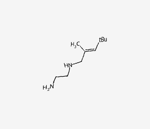 C/C(=C\C(C)(C)C)CNCCN